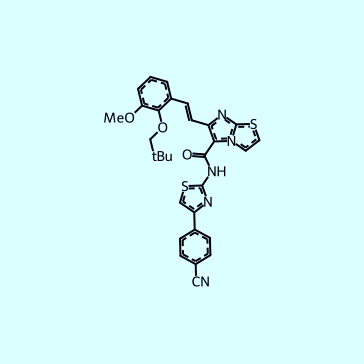 COc1cccc(C=Cc2nc3sccn3c2C(=O)Nc2nc(-c3ccc(C#N)cc3)cs2)c1OCC(C)(C)C